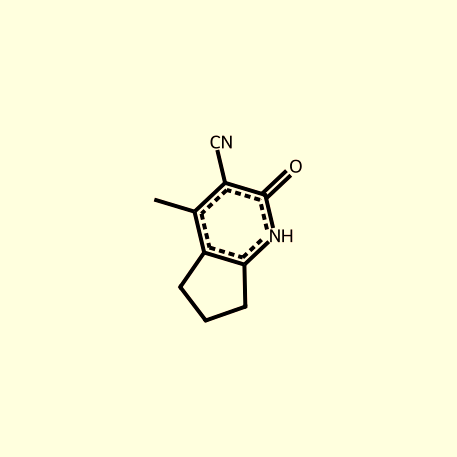 Cc1c2c([nH]c(=O)c1C#N)CCC2